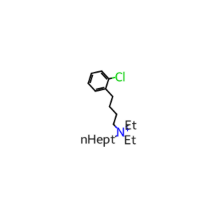 CCCCCCC[N+](CC)(CC)CCCCc1ccccc1Cl